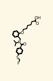 CC(C)N(Cc1ccccc1OCCCCCC(=O)O)C(=O)c1ccc(SCF)cc1